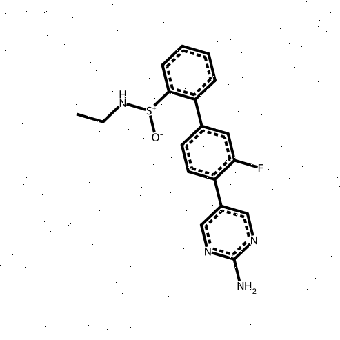 CCN[S+]([O-])c1ccccc1-c1ccc(-c2cnc(N)nc2)c(F)c1